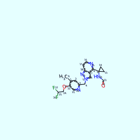 Cc1cc(Cn2cc3c(C4(NC=O)CC4)nccc3n2)ncc1OCC(F)F